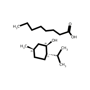 CC(C)[C@@H]1CC[C@@H](C)C[C@H]1O.CCCCCCCC(=O)O